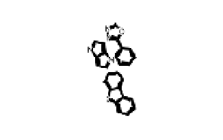 C1=NC2=CC=NC2=C1.c1ccc(-c2nnco2)cc1.c1ccc2c(c1)sc1ccccc12